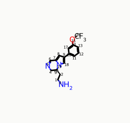 NCC[C@H]1CN=Cc2cc(-c3cccc(OC(F)(F)F)c3)cn21